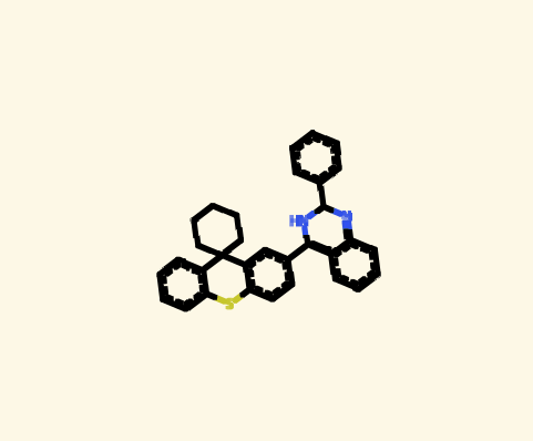 c1ccc(C2N=c3ccccc3=C(c3ccc4c(c3)C3(CCCCC3)c3ccccc3S4)N2)cc1